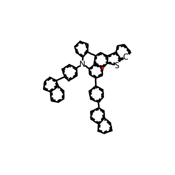 c1cc(-c2ccc(-c3ccc4ccccc4c3)cc2)cc(N(c2ccc(-c3cccc4ccccc34)cc2)c2ccccc2-c2ccc3sc4ccccc4c3c2)c1